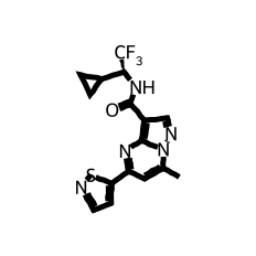 Cc1cc(-c2ccns2)nc2c(C(=O)N[C@@H](C3CC3)C(F)(F)F)cnn12